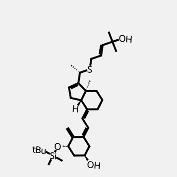 C=C1C(=CC=C2CCC[C@]3(C)C([C@H](C)SC/C=C/C(C)(C)O)=CC[C@@H]23)C[C@@H](O)C[C@@H]1O[Si](C)(C)C(C)(C)C